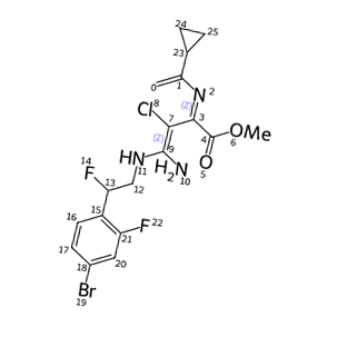 C=C(/N=C(C(=O)OC)\C(Cl)=C(/N)NCC(F)c1ccc(Br)cc1F)C1CC1